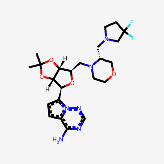 CC1(C)O[C@@H]2[C@H](O1)[C@@H](CN1CCOC[C@H]1CN1CCC(F)(F)C1)O[C@H]2c1ccc2c(N)ncnn12